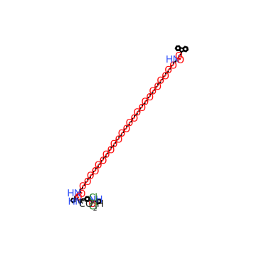 O=C(CCOCCOCCOCCOCCOCCOCCOCCOCCOCCOCCOCCOCCOCCOCCOCCOCCOCCOCCOCCOCCOCCOCCOCCOCCNC(=O)OCC1c2ccccc2-c2ccccc21)NCCC1(C(=O)N[C@@H](Cc2ccc(NC(=O)c3c(Cl)cccc3Cl)cc2)C(=O)O)CCCC1